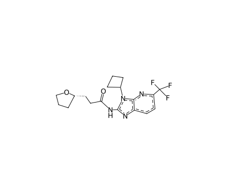 O=C(CC[C@@H]1CCCO1)Nc1nc2ccc(C(F)(F)F)nc2n1C1CCC1